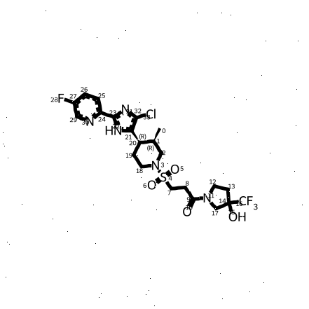 C[C@H]1CN(S(=O)(=O)CCC(=O)N2CCC(O)(C(F)(F)F)C2)CC[C@H]1c1[nH]c(-c2ccc(F)cn2)nc1Cl